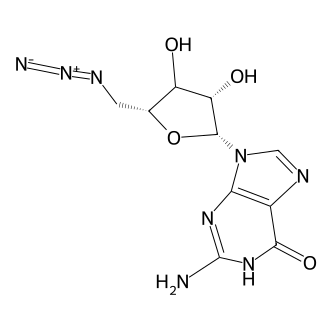 [N-]=[N+]=NC[C@H]1O[C@@H](n2cnc3c(=O)[nH]c(N)nc32)[C@@H](O)C1O